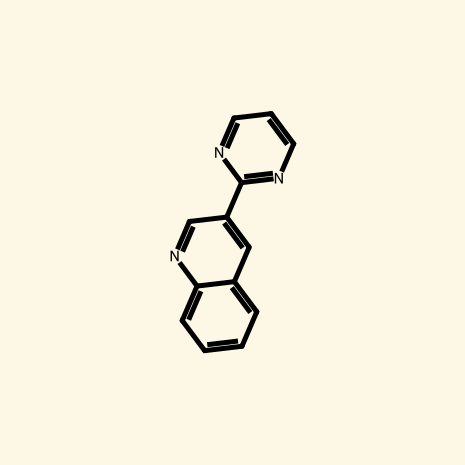 c1cnc(-c2cnc3ccccc3c2)nc1